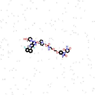 CCc1c(F)ccc2cccc(-c3ncc4c(N5CCC[C@@](C)(O)C5)nc(OC[C@@]56CCCN5[C@H](COC(=O)NCCOCCOc5ccc7c(c5)n(C)c(=O)n7C5CCC(=O)NC5=O)CC6)nc4c3F)c12